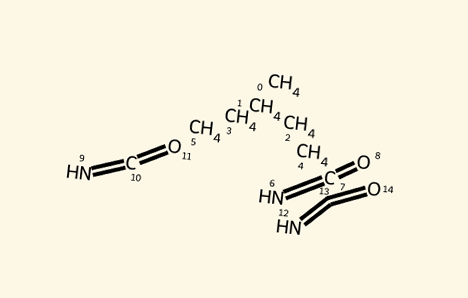 C.C.C.C.C.C.N=C=O.N=C=O.N=C=O